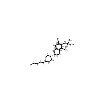 CCCCC[C@H]1CC[C@H](c2ccc3c(F)c(OC(F)(F)F)c(F)cc3c2)CC1